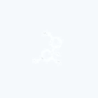 CCC1(c2cccc(OC)c2)CCN(C)C=C1C